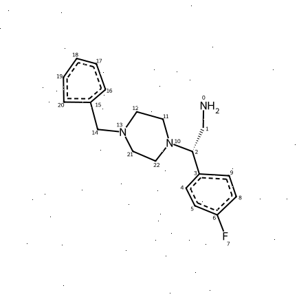 NC[C@H](c1ccc(F)cc1)N1CCN(Cc2ccccc2)CC1